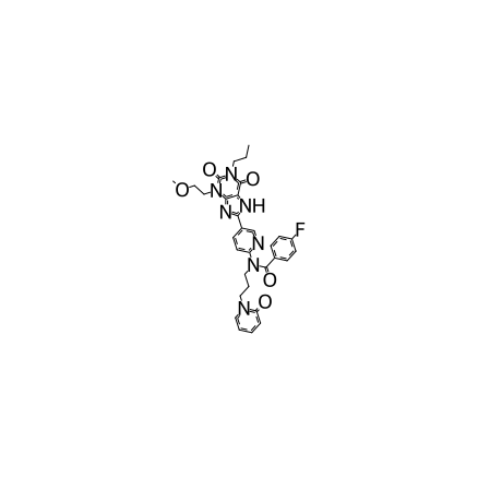 CCCn1c(=O)c2[nH]c(-c3ccc(N(CCCn4ccccc4=O)C(=O)c4ccc(F)cc4)nc3)nc2n(CCOC)c1=O